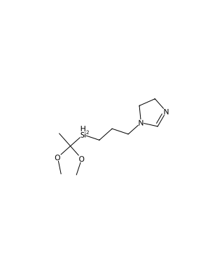 COC(C)(OC)[SiH2]CCCN1C=NCC1